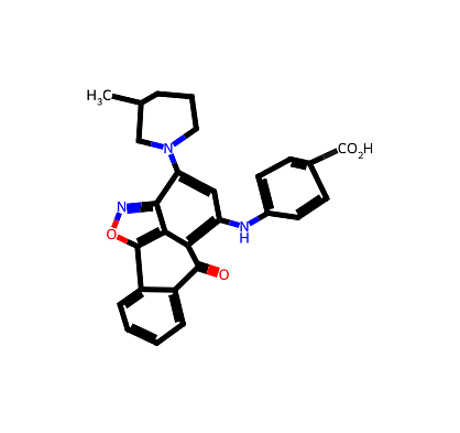 CC1CCCN(c2cc(Nc3ccc(C(=O)O)cc3)c3c4c(onc24)-c2ccccc2C3=O)C1